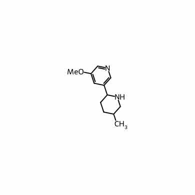 COc1cncc(C2CCC(C)CN2)c1